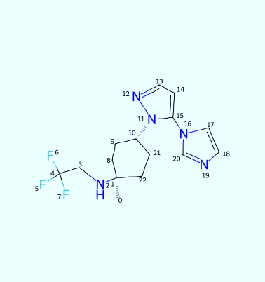 C[C@]1(NCC(F)(F)F)CC[C@H](n2nccc2-n2ccnc2)CC1